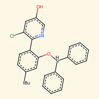 CC(C)(C)c1ccc(-c2ncc(O)cc2Cl)c(O[SiH](c2ccccc2)c2ccccc2)c1